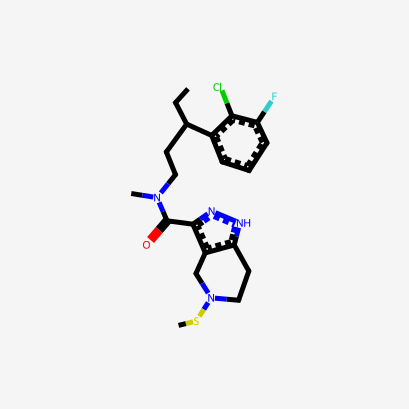 CCC(CCN(C)C(=O)c1n[nH]c2c1CN(SC)CC2)c1cccc(F)c1Cl